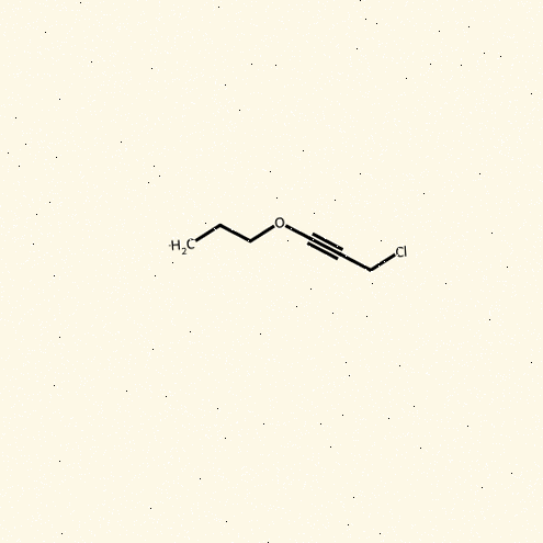 [CH2]CCOC#CCCl